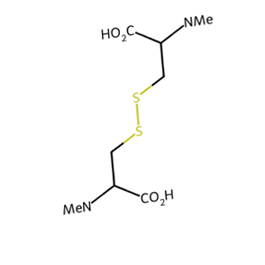 CNC(CSSCC(NC)C(=O)O)C(=O)O